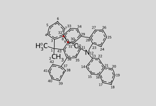 CC1(C)c2ccccc2-c2cc(N(c3ccc4ccccc4c3)c3ccccc3-c3ccccc3)cc(-c3ccccc3)c21